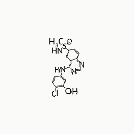 CS(=N)(=O)c1ccc2ncnc(Nc3ccc(Cl)c(O)c3)c2c1